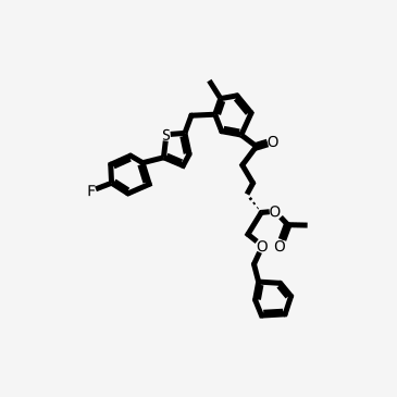 CC(=O)O[C@@H](CCCC(=O)c1ccc(C)c(Cc2ccc(-c3ccc(F)cc3)s2)c1)COCc1ccccc1